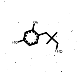 CC(C)(CC=O)Cc1ccc(O)cc1O